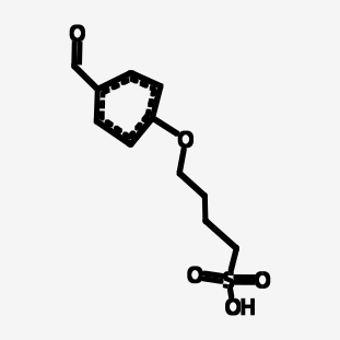 O=Cc1ccc(OCCCCS(=O)(=O)O)cc1